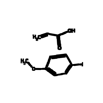 C=CC(=O)O.COc1ccc(I)cc1